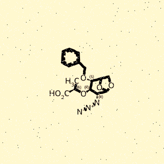 C[C@@H](O[C@H]1[C@H](OCc2ccccc2)C2COC(O2)[C@@H]1N=[N+]=[N-])C(=O)O